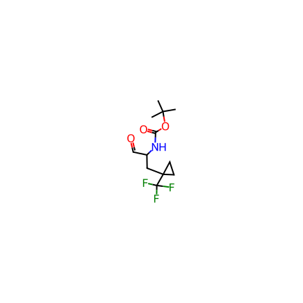 CC(C)(C)OC(=O)NC(C=O)CC1(C(F)(F)F)CC1